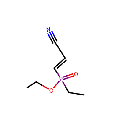 CCOP(=O)(C=CC#N)CC